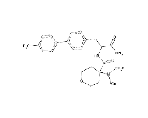 CC(C)(C)N(C(=O)O)C1(C(=O)NC(Cc2ccc(-c3ccc(C(F)(F)F)cc3)cc2)C(N)=O)CCOCC1